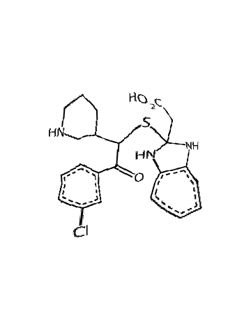 O=C(O)CC1(SC(C(=O)c2cccc(Cl)c2)C2CCCNC2)Nc2ccccc2N1